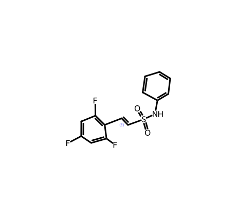 O=S(=O)(/C=C/c1c(F)cc(F)cc1F)Nc1ccccc1